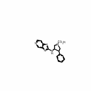 O=C(O)N1CC(Nc2nc3cnccc3s2)C(c2ccccc2)C1